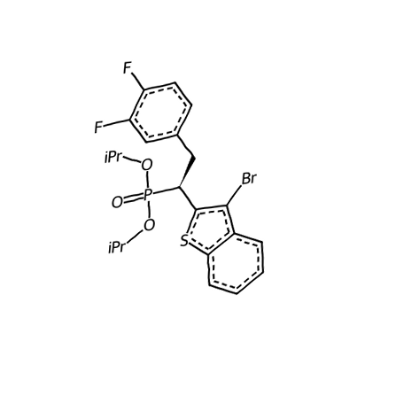 CC(C)OP(=O)(OC(C)C)[C@@H](Cc1ccc(F)c(F)c1)c1sc2ccccc2c1Br